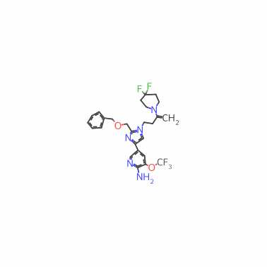 C=C(CCn1cc(-c2cnc(N)c(OC(F)(F)F)c2)nc1COCc1ccccc1)N1CCC(F)(F)CC1